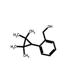 CC1(C)C(c2ccccc2CO)C1(C)C